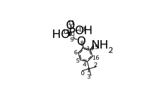 CC(C)(C)c1ccc(OCP(=O)(O)O)c(N)c1